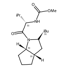 CC[C@H](C)C1C[C@@H]2CCC[C@@H]2N1C(=O)[C@@H](NC(=O)OC)C(C)C